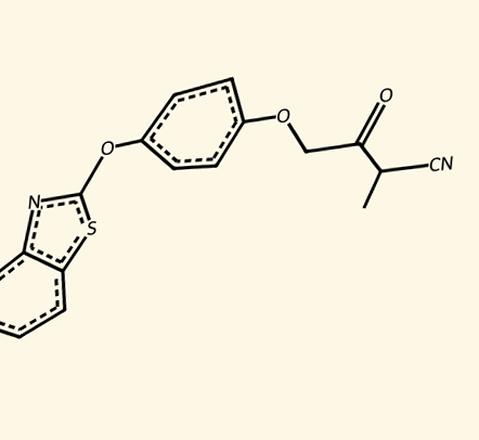 CC(C#N)C(=O)COc1ccc(Oc2nc3ccccc3s2)cc1